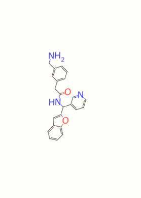 NCc1cccc(CC(=O)NC(c2cccnc2)c2cc3ccccc3o2)c1